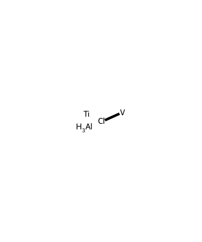 [AlH3].[Cl][V].[Ti]